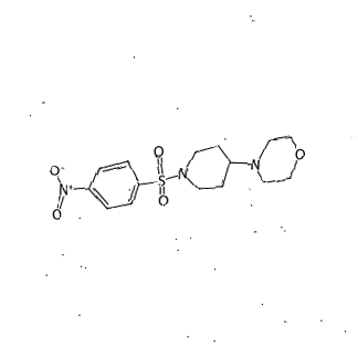 O=[N+]([O-])c1ccc(S(=O)(=O)N2CCC(N3CCOCC3)CC2)cc1